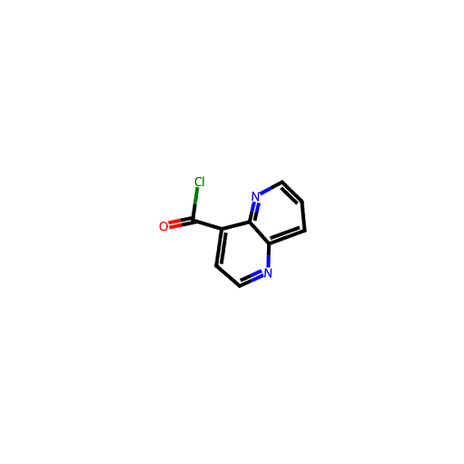 O=C(Cl)c1ccnc2cccnc12